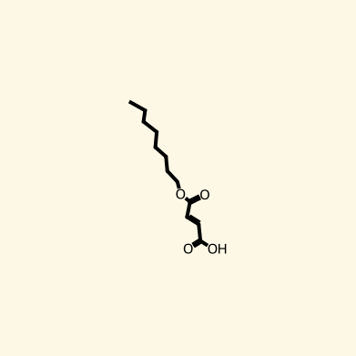 CCCCCCCCOC(=O)C=CC(=O)O